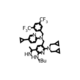 CC(=N)c1cc(CN(Cc2cc(C(F)(F)F)cc(C(F)(F)F)c2)c2ccc(C3CC3)cn2)c(N(CC2CC2)CC2CC2)nc1NC(C)(C)C